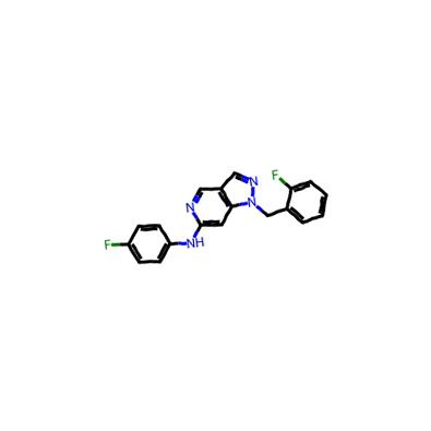 Fc1ccc(Nc2cc3c(cn2)cnn3Cc2ccccc2F)cc1